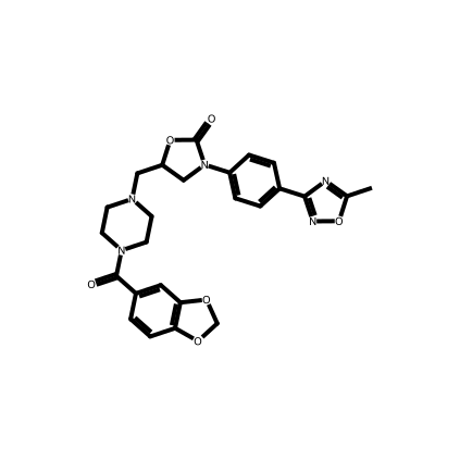 Cc1nc(-c2ccc(N3CC(CN4CCN(C(=O)c5ccc6c(c5)OCO6)CC4)OC3=O)cc2)no1